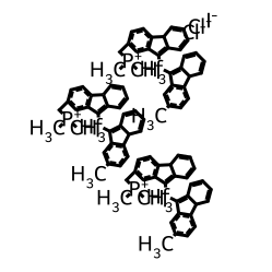 Cc1ccc2c(c1)[C]([Hf][C]1=C3C=CC=CC3c3ccc4c(c31)[P+](C)(C)C4)=C1C=CC=CC12.Cc1ccc2c(c1)[C]([Hf][C]1=C3C=CC=CC3c3ccc4c(c31)[P+](C)(C)C4)=C1C=CC=CC12.Cc1ccc2c(c1)[C]([Hf][C]1=C3C=CC=CC3c3ccc4c(c31)[P+](C)(C)C4)=C1C=CC=CC12.[Cl-].[Cl-].[I-]